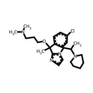 CC(Cn1ccnc1C(C)(OCCCN(C)C)c1ccc(Cl)cc1)N1CCCCC1